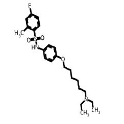 CCN(CC)CCCCCCOc1ccc(NS(=O)(=O)c2ccc(F)cc2C)cc1